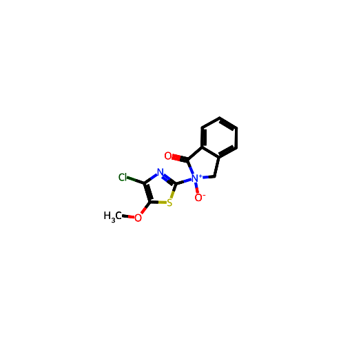 COc1sc([N+]2([O-])Cc3ccccc3C2=O)nc1Cl